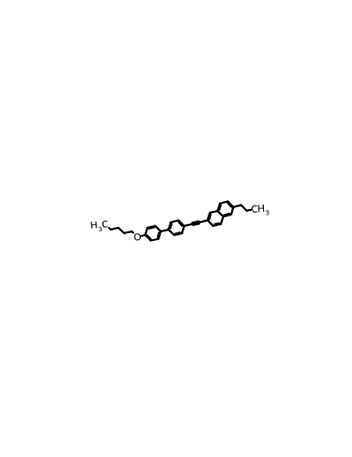 CCCCCOc1ccc(-c2ccc(C#Cc3ccc4cc(CCC)ccc4c3)cc2)cc1